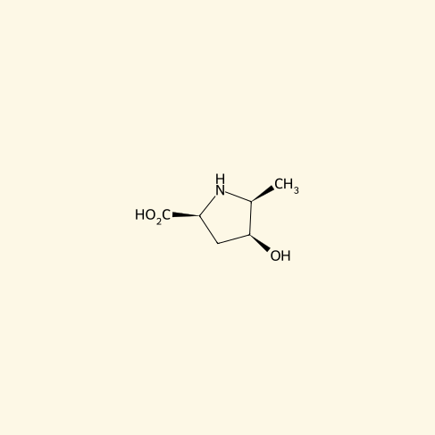 C[C@@H]1N[C@H](C(=O)O)C[C@@H]1O